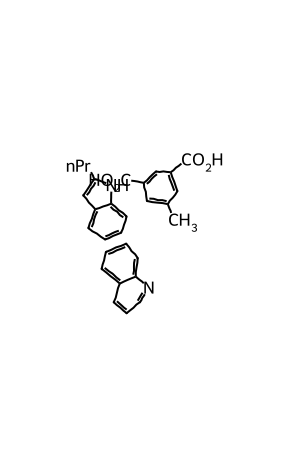 CCCc1cc2ccccc2[nH]1.Cc1cc(C(=O)O)cc(C(=O)O)c1.c1ccc2ncccc2c1